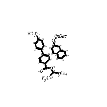 CCCCCCC(OC(=O)c1ccc(-c2ccc(C(=O)O)cc2)cc1)C(F)(F)F.CCCCCCCCCCOc1ccc2ccccc2c1